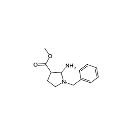 COC(=O)C1CCN(Cc2ccccc2)C1N